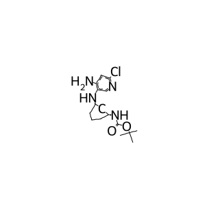 CC(C)(C)OC(=O)N[C@H]1CCC[C@@H](Nc2cnc(Cl)cc2N)C1